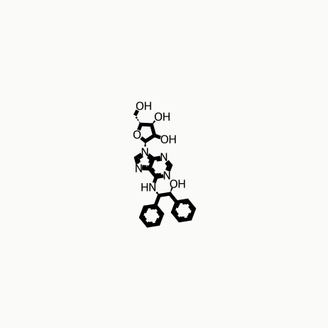 OC[C@H]1O[C@@H](n2cnc3c(N[C@@H](c4ccccc4)[C@H](O)c4ccccc4)ncnc32)C(O)[C@H]1O